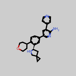 Nc1ncc(-c2ccc(C3CCOCC3)c([C@H]3CC4(CC4)CN3)c2)cc1-c1ccncc1